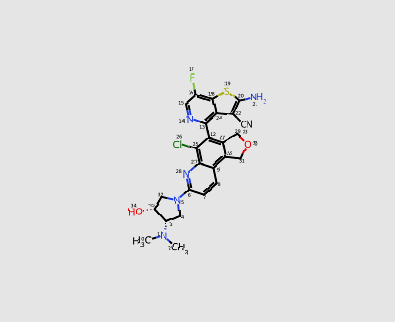 CN(C)[C@H]1CN(c2ccc3c4c(c(-c5ncc(F)c6sc(N)c(C#N)c56)c(Cl)c3n2)COC4)C[C@H]1O